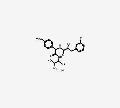 COc1ccc(C(NC(=O)C(N)Cc2cccc(Cl)c2)C(=O)NC(C(C)C)C(O)C(F)(F)F)cc1.Cl